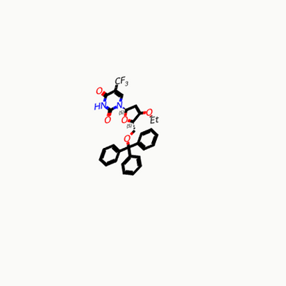 CCOC1C[C@@H](n2cc(C(F)(F)F)c(=O)[nH]c2=O)O[C@H]1COC(c1ccccc1)(c1ccccc1)c1ccccc1